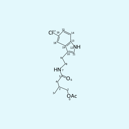 CC(=O)OCC(C)CC(=O)NCCc1c[nH]c2ccc(Cl)cc12